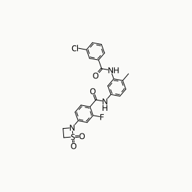 Cc1ccc(NC(=O)c2ccc(N3CCS3(=O)=O)cc2F)cc1NC(=O)c1cccc(Cl)c1